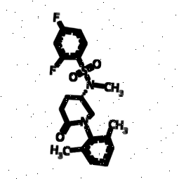 Cc1cccc(C)c1N1C[C@@H](N(C)S(=O)(=O)c2ccc(F)cc2F)CCC1=O